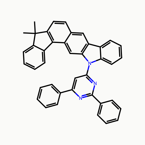 CC1(C)c2ccccc2-c2c1ccc1cc3c4ccccc4n(-c4cc(-c5ccccc5)nc(-c5ccccc5)n4)c3cc21